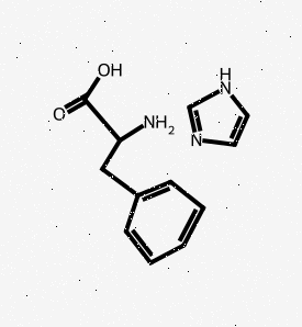 NC(Cc1ccccc1)C(=O)O.c1c[nH]cn1